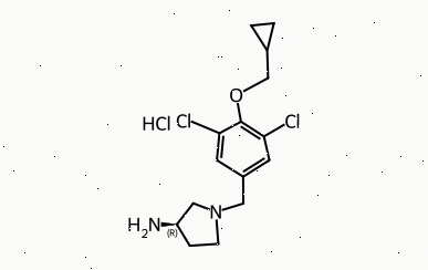 Cl.N[C@@H]1CCN(Cc2cc(Cl)c(OCC3CC3)c(Cl)c2)C1